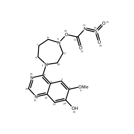 COc1cc2c(N3CCCN(OC(=O)N=S(=O)=O)CC3)ncnc2cc1O